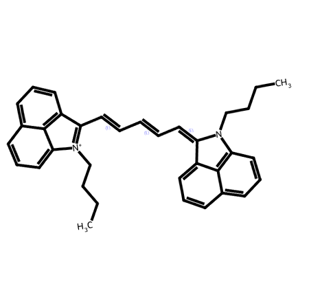 CCCCn1/c(=C/C=C/C=C/C2=[N+](CCCC)c3cccc4cccc2c34)c2cccc3cccc1c32